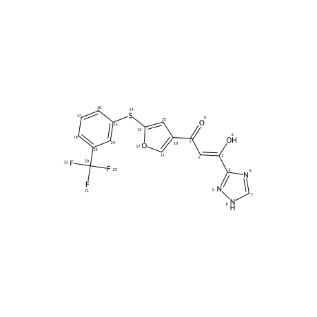 O=C(C=C(O)c1nc[nH]n1)c1coc(Sc2cccc(C(F)(F)F)c2)c1